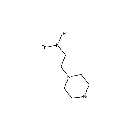 CC(C)N(CCN1CC[N]CC1)C(C)C